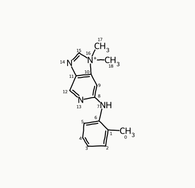 Cc1ccccc1Nc1cc2c(cn1)N=C[N+]2(C)C